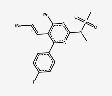 CC(C)c1nc(N(C)S(C)(=O)=O)nc(-c2ccc(F)cc2)c1/C=C/C(C)(C)C